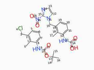 Cc1c(CCl)cccc1NC(=O)OC(C)(C)C.Cc1c(Cn2ccnc2[N+](=O)[O-])cccc1NC(=O)O